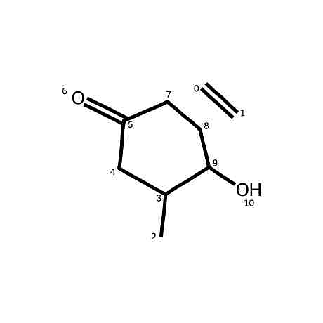 C=C.CC1CC(=O)CCC1O